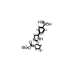 CC(C)(C)OC(=O)N1C[C@@H](F)C[C@H]1C1=NCC(c2ccc(B(O)O)cc2)N1